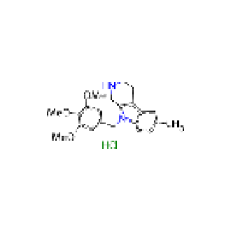 COc1cc(Cn2c3c(c4cc(C)ccc42)CCNC3)cc(OC)c1OC.Cl